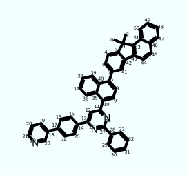 CC1(C)c2ccc(-c3ccc(-c4cc(-c5ccc(-c6cccnc6)cc5)nc(-c5ccccc5)n4)c4ccccc34)cc2-c2ccc3ccccc3c21